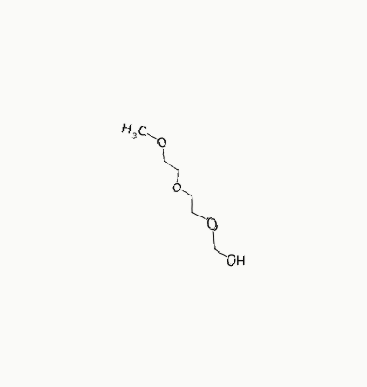 COCCOCCOCO